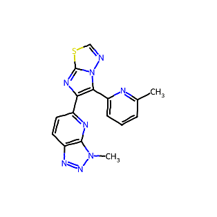 Cc1cccc(-c2c(-c3ccc4nnn(C)c4n3)nc3scnn23)n1